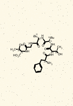 CC[C@H](C)[C@H](NC(=O)[C@@H](NC(=O)[C@@H](N)Cc1ccccc1)[C@@H](C)O)C(=O)N[C@H](C(=O)NCC(=O)N[C@H](C(=O)O)[C@@H](C)O)[C@@H](C)CC